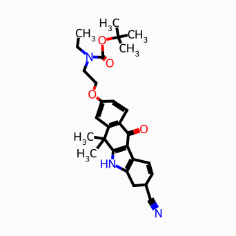 CCN(CCOc1ccc2c(c1)C(C)(C)c1[nH]c3c(c1C2=O)C=CC(C#N)C3)C(=O)OC(C)(C)C